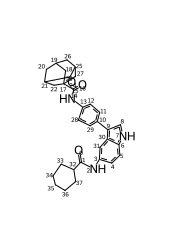 O=C(Nc1ccc2[nH]cc(-c3ccc(NC(=O)C45CC6CC(C4)C(=O)C(C6)C5)cc3)c2c1)C1CCCCC1